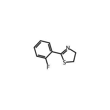 Fc1ccccc1C1=NCCS1